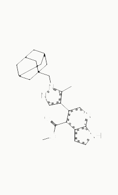 COC(=O)c1c(-c2cnn(CC34CC5CC(CC(C5)C3)C4)c2C)cnc2[nH]ccc12